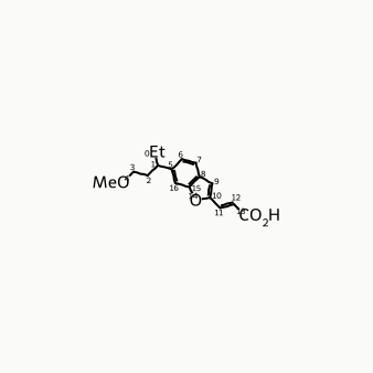 CCC(CCOC)c1ccc2cc(/C=C/C(=O)O)oc2c1